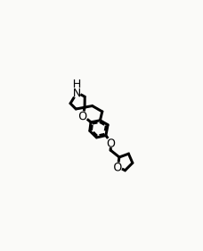 c1cc2c(cc1OCC1CCCO1)CCC1(CCNC1)O2